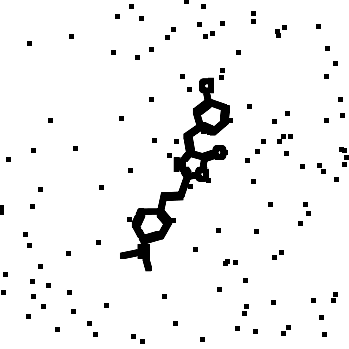 CN(C)c1ccc(C=CC2=NC(=Cc3cccc(Cl)c3)C(=O)O2)cc1